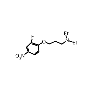 CCN(CC)CCCOc1ccc([N+](=O)[O-])cc1F